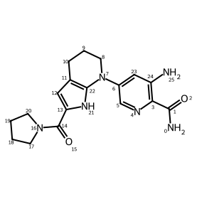 NC(=O)c1ncc(N2CCCc3cc(C(=O)N4CCCC4)[nH]c32)cc1N